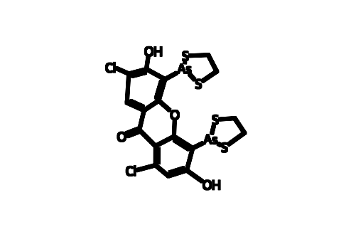 O=c1c2cc(Cl)c(O)c([As]3SCCS3)c2oc2c([As]3SCCS3)c(O)cc(Cl)c12